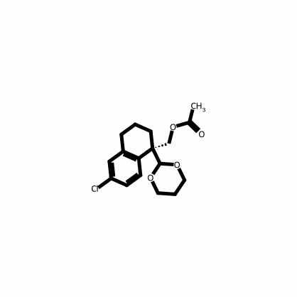 CC(=O)OC[C@@]1(C2OCCCO2)CCCc2cc(Cl)ccc21